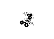 CC(C)C[C@@H](C(=O)N[C@H]1N=C(c2ccccc2)c2ccccc2N(C)C1=O)[C@@]1(C(N)=O)C=CC1